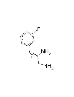 NC/C(N)=C/c1cccc(F)c1